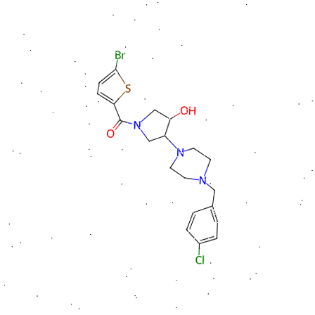 O=C(c1ccc(Br)s1)N1CC(O)C(N2CCN(Cc3ccc(Cl)cc3)CC2)C1